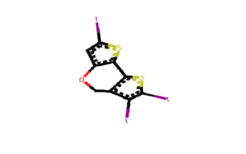 Ic1cc2c(s1)-c1sc(I)c(I)c1CO2